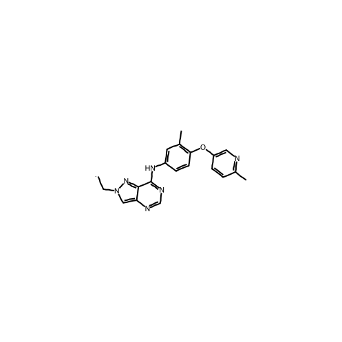 [CH2]Cn1cc2ncnc(Nc3ccc(Oc4ccc(C)nc4)c(C)c3)c2n1